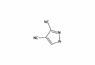 N#CC1=C[N]N=C1C#N